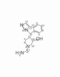 NSN1CCC(C2c3ccccc3-c3cncn32)C(O)C1